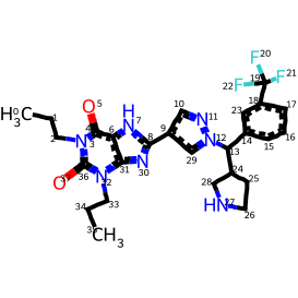 CCCn1c(=O)c2[nH]c(-c3cnn(C(c4cccc(C(F)(F)F)c4)C4CCNC4)c3)nc2n(CCC)c1=O